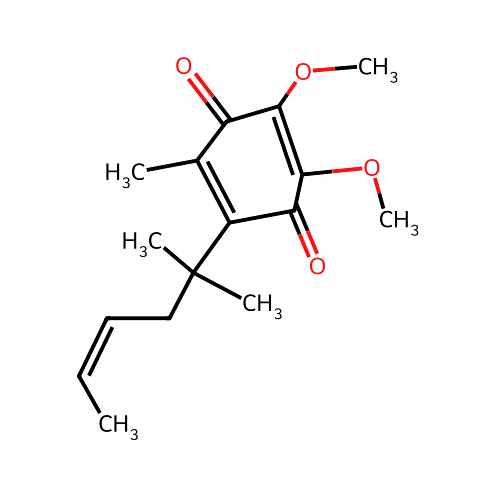 C/C=C\CC(C)(C)C1=C(C)C(=O)C(OC)=C(OC)C1=O